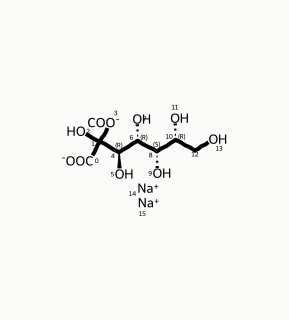 O=C([O-])C(O)(C(=O)[O-])[C@H](O)[C@H](O)[C@@H](O)[C@H](O)CO.[Na+].[Na+]